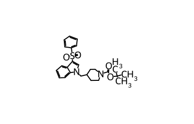 CC(C)(C)OC(=O)N1CCC(Cn2cc(S(=O)(=O)c3ccccc3)c3ccccc32)CC1